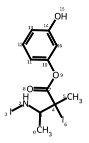 CC(NI)C(C)(I)C(=O)Oc1cccc(O)c1